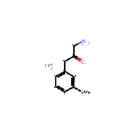 CSc1cccc(CC(=O)CN)c1.Cl